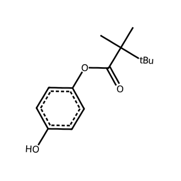 CC(C)(C)C(C)(C)C(=O)Oc1ccc(O)cc1